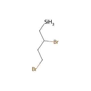 [SiH3]CC(Br)CCBr